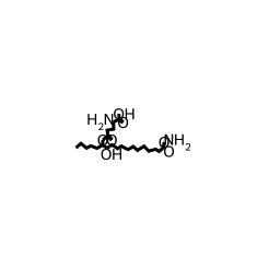 CCCCCC(OC(=O)CCC(N)C(=O)O)C(O)CCCCCCCCCCC(=O)ON